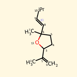 C=C(C)C1CCC(C)(/C=C/C(C)C)O1